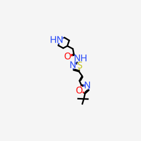 CC(C)(C)c1cnc(C=Cc2cnc(NC(=O)CC3CCNCC3)s2)o1